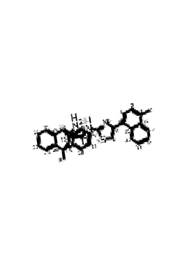 Cc1ccc(-c2csc(NC(=O)C3(N)CC4(C)c5ccccc5C3c3ccccc34)n2)c2ccccc12